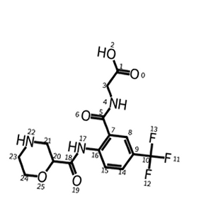 O=C(O)CNC(=O)c1cc(C(F)(F)F)ccc1NC(=O)C1CNCCO1